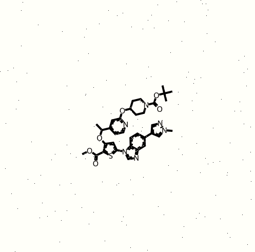 COC(=O)c1sc(-n2cnc3cc(-c4cnn(C)c4)ccc32)cc1OC(C)c1ccnc(OC2CCN(C(=O)OC(C)(C)C)CC2)c1